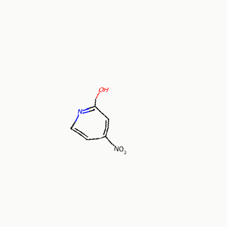 O=[N+]([O-])c1ccnc(O)c1